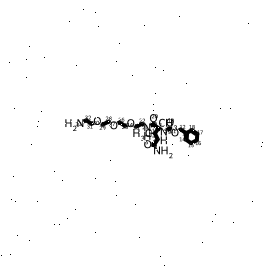 C[C@@H](CC(N)=O)C(C)(NC(=O)OCC1=CCCC=C1)C(=O)NCCOCCOCCOCCN